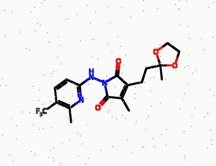 CC1=C(CCC2(C)OCCO2)C(=O)N(Nc2ccc(C(F)(F)F)c(C)n2)C1=O